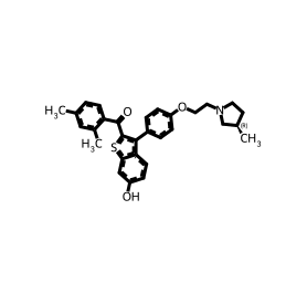 Cc1ccc(C(=O)c2sc3cc(O)ccc3c2-c2ccc(OCCN3CC[C@@H](C)C3)cc2)c(C)c1